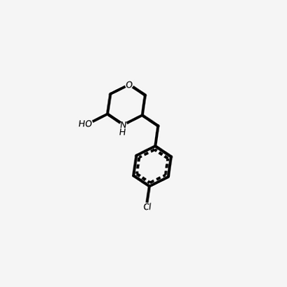 OC1COCC(Cc2ccc(Cl)cc2)N1